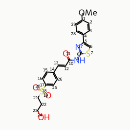 COc1ccc(-c2csc(NC(=O)C=Cc3ccc(S(=O)(=O)CCCO)cc3)n2)cc1